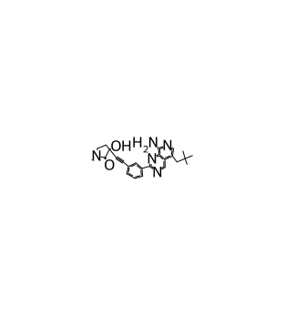 CN1CCC(O)(C#Cc2cccc(-c3ncc4c(CC(C)(C)C)cnc(N)c4n3)c2)C1=O